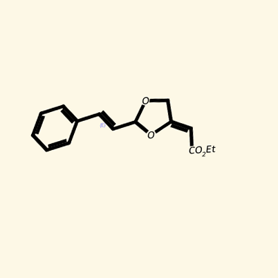 CCOC(=O)C=C1COC(/C=C/c2ccccc2)O1